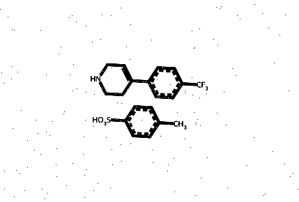 Cc1ccc(S(=O)(=O)O)cc1.FC(F)(F)c1ccc(C2=CCNCC2)cc1